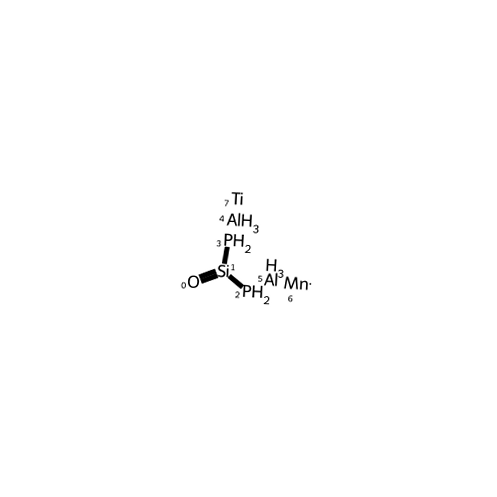 O=[Si](P)P.[AlH3].[AlH3].[Mn].[Ti]